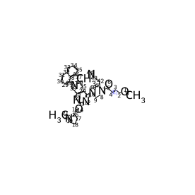 COC/C=C/C(=O)N1CCN(c2nc(OCC3CCCN3C)nc3c2CCN(c2cccc4cccc(C)c24)C3)CC1CC#N